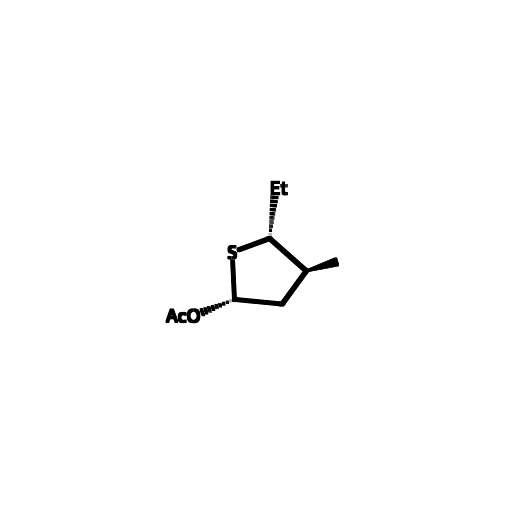 CC[C@H]1S[C@@H](OC(C)=O)C[C@@H]1C